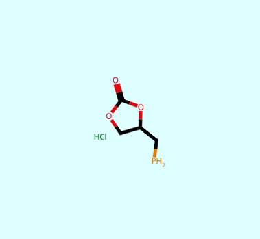 Cl.O=C1OCC(CP)O1